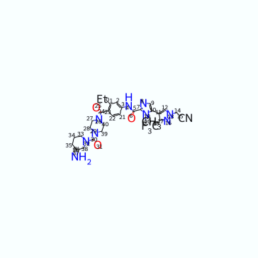 CCc1cc(NC(=O)c2ncc(-c3cn(CC#N)nc3C(F)(F)F)n2C)ccc1C(=O)N1CCN(C(=O)N2CCC[C@@H](N)C2)CC1